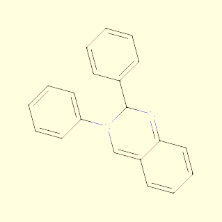 C1=c2ccccc2=NC(c2ccccc2)N1c1ccccc1